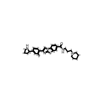 O=C(NCCCN1CCCCC1)c1ccc2c(c1)sc1nc(-c3ccc(C4CCCN4)cc3F)cn12